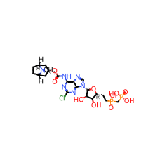 CN1[C@@H]2CC[C@H]1C[C@@H](OC(=O)Nc1nc(Cl)nc3c1ncn3[C@@H]1O[C@H](CCP(=O)(O)CP(=O)(O)O)C(O)C1O)C2